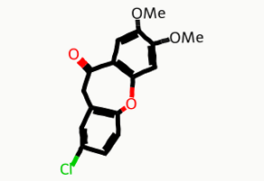 COc1cc2c(cc1OC)C(=O)Cc1cc(Cl)ccc1O2